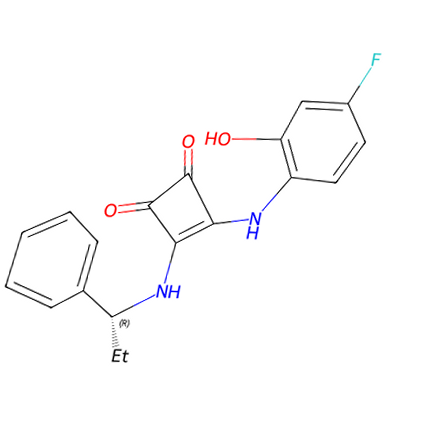 CC[C@@H](Nc1c(Nc2ccc(F)cc2O)c(=O)c1=O)c1ccccc1